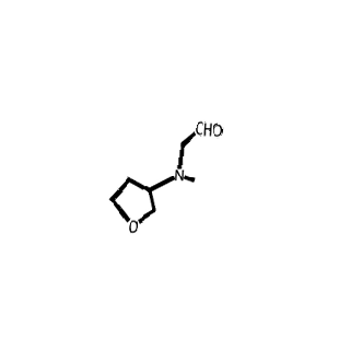 CN(CC=O)C1CCOC1